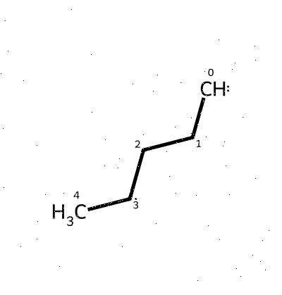 [CH]CC[CH]C